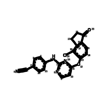 N#Cc1ccc(Nc2nccc(Oc3ccc4c(c3Cl)CCC4=O)n2)cc1